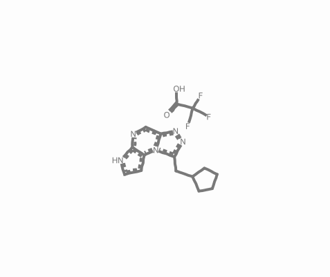 O=C(O)C(F)(F)F.c1cc2c(ncc3nnc(CC4CCCC4)n32)[nH]1